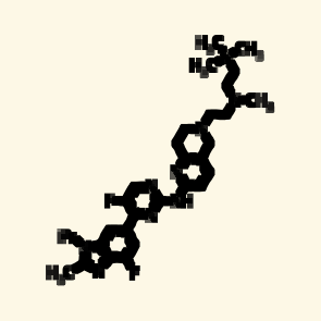 Cc1nc2c(F)cc(-c3nc(Nc4ccc5c(n4)CCN(CCN(C)CC[Si](C)(C)C)C5)ncc3F)cc2n1C(C)C